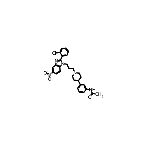 CC(=O)Nc1cccc(C2CCN(CCCn3c(-c4ccccc4Cl)nc4cc([N+](=O)[O-])ccc43)CC2)c1